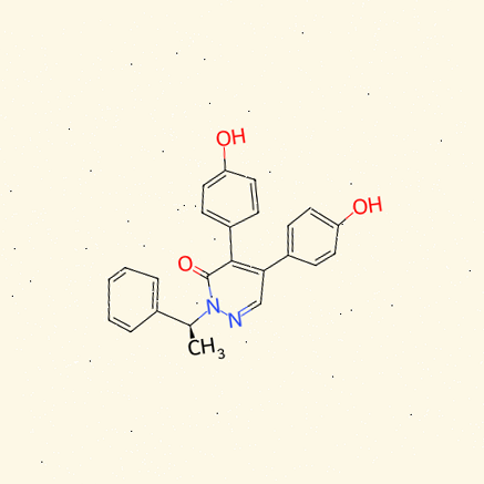 C[C@@H](c1ccccc1)n1ncc(-c2ccc(O)cc2)c(-c2ccc(O)cc2)c1=O